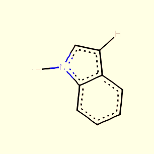 [2H]c1cn([2H])c2ccccc12